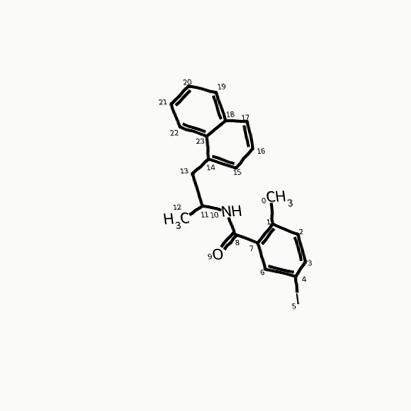 Cc1ccc(I)cc1C(=O)NC(C)Cc1cccc2ccccc12